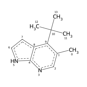 Cc1cnc2[nH]ccc2c1C(C)(C)C